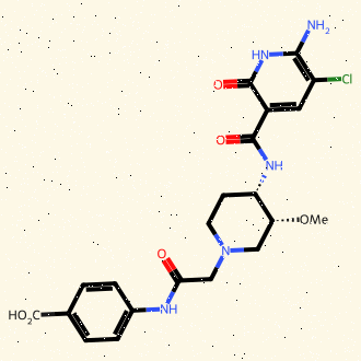 CO[C@@H]1CN(CC(=O)Nc2ccc(C(=O)O)cc2)CC[C@@H]1NC(=O)c1cc(Cl)c(N)[nH]c1=O